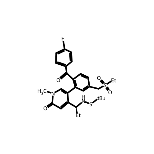 CC[C@H](NSC(C)(C)C)c1cc(=O)n(C)cc1-c1cc(CS(=O)(=O)CC)ccc1C(=O)c1ccc(F)cc1